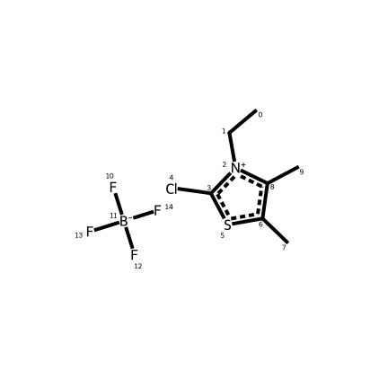 CC[n+]1c(Cl)sc(C)c1C.F[B-](F)(F)F